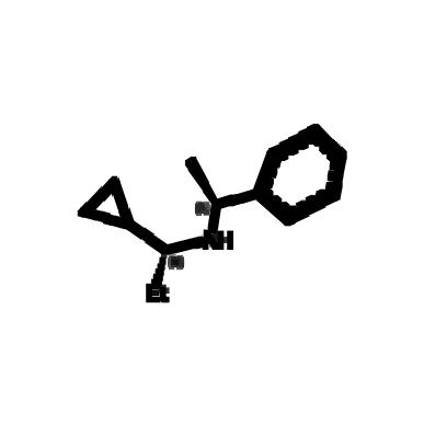 CC[C@@H](N[C@@H](C)c1ccccc1)C1CC1